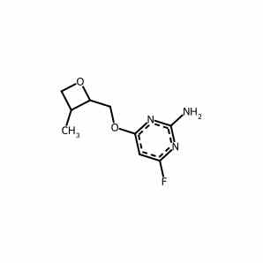 CC1COC1COc1cc(F)nc(N)n1